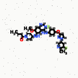 C/C=C/C(=O)N1CCC(Nc2cc3c(Nc4ccc(Oc5ccn(-c6cnc(C)c(F)c6)n5)cc4F)ncnc3cc2OC)CC1